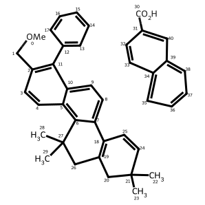 COCc1ccc2c3c(ccc2c1-c1ccccc1)C1=C(CC(C)(C)C=C1)CC3(C)C.O=C(O)c1ccc2ccccc2c1